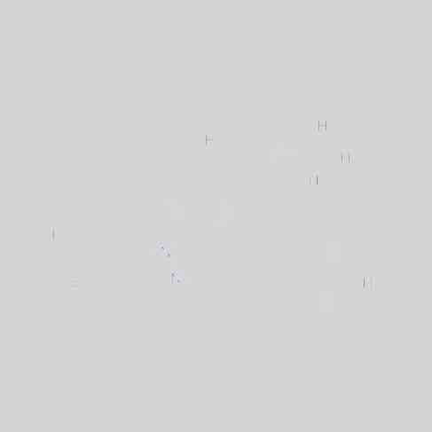 CC(COc1c(-c2ccc(S(C)(=O)=O)cc2)cnn(-c2ccc(F)c(F)c2)c1=O)COC(C)(C)C